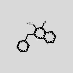 O=C(O)c1c(Cc2ccccc2)nc2ccccc2c1Cl